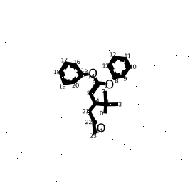 CC(C)(C)C(C=C(Oc1ccccc1)Oc1ccccc1)CC1CO1